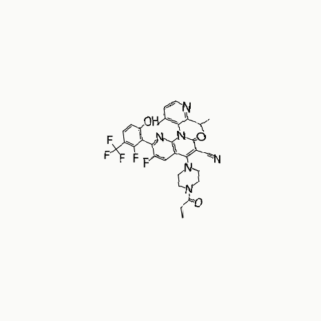 C=CC(=O)N1CCN(c2c(C#N)c(=O)n(-c3c(C)ccnc3C(C)C)c3nc(-c4c(O)ccc(C(F)(F)F)c4F)c(F)cc23)CC1